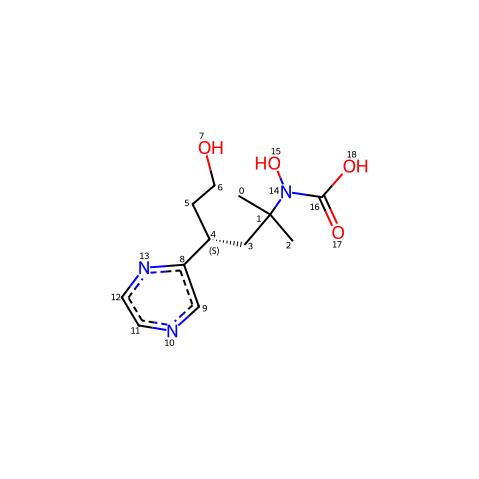 CC(C)(C[C@@H](CCO)c1cnccn1)N(O)C(=O)O